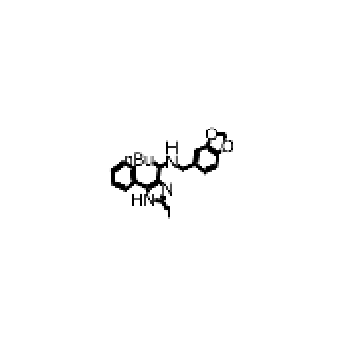 CCCCC(NCc1ccc2c(c1)OCO2)c1nc(I)[nH]c1-c1ccccc1